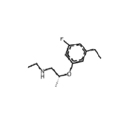 CCNC[C@@H](C)Oc1cc(F)cc(CC)c1